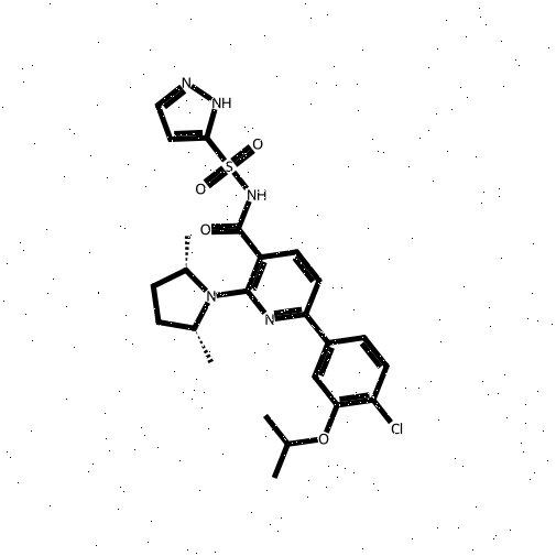 CC(C)Oc1cc(-c2ccc(C(=O)NS(=O)(=O)c3ccn[nH]3)c(N3[C@H](C)CC[C@@H]3C)n2)ccc1Cl